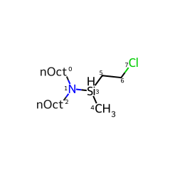 CCCCCCCCN(CCCCCCCC)[SiH](C)CCCl